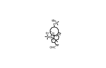 CC[C@@H]1CCC(O[Si](C)(C)C(C)(C)C)CCC(C)[C@H]2CCC3(C)C([C@H](C)C=O)CC[C@H]3[C@@H]2C1O[Si](C)(C)C